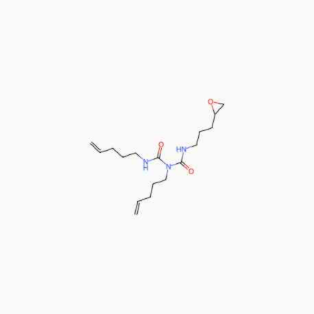 C=CCCCNC(=O)N(CCCC=C)C(=O)NCCCC1CO1